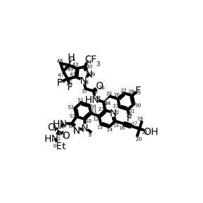 CCNS(=O)(=O)Nc1nn(C)c2c(-c3ccc(C#CC(C)(C)O)nc3[C@H](Cc3cc(F)cc(F)c3)NC(=O)Cn3nc(C(F)(F)F)c4c3C(F)(F)C3C[C@H]43)cccc12